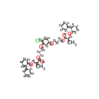 CC(=COc1ccccc1-c1ccccc1)C(=O)OCCCOc1ccc(Cl)c(OCCCOC(=O)C(C)=COc2ccccc2-c2ccccc2)c1